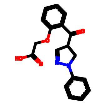 O=C(O)COc1ccccc1C(=O)C1C=NN(c2ccccc2)C1